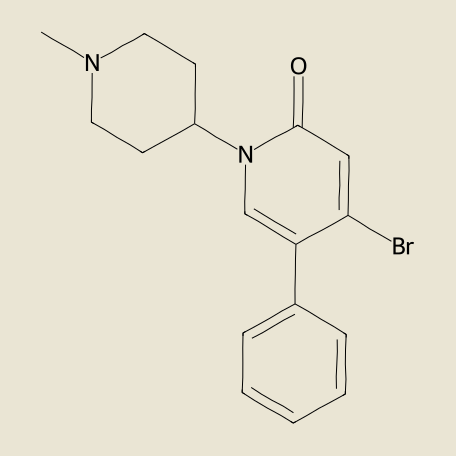 CN1CCC(n2cc(-c3ccccc3)c(Br)cc2=O)CC1